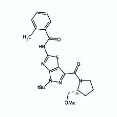 COC[C@H]1CCCN1C(=O)c1nn(C(C)(C)C)c2nc(NC(=O)c3ccccc3C)sc12